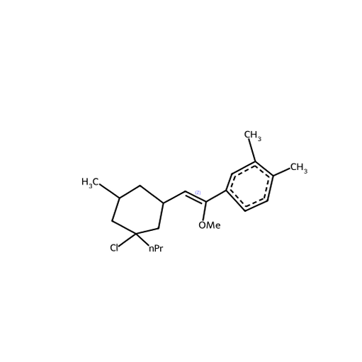 CCCC1(Cl)CC(C)CC(/C=C(\OC)c2ccc(C)c(C)c2)C1